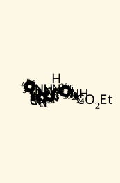 C#Cc1ccccc1Nc1ncnc2cnc(NC3CCC(NCC(=O)OCC)CC3)nc12